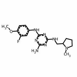 COc1ccc(Nc2nc(N)nc(NCC3CCCN3C)n2)cc1F